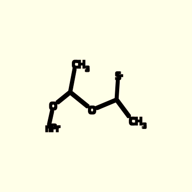 CCCOC(C)OC(C)[S]